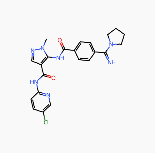 Cn1ncc(C(=O)Nc2ccc(Cl)cn2)c1NC(=O)c1ccc(C(=N)N2CCCC2)cc1